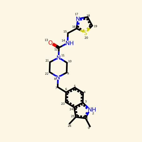 Cc1[nH]c2ccc(CN3CCN(C(=O)NCc4nccs4)CC3)cc2c1C